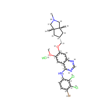 COc1cc2c(Nc3ccc(Br)c(Cl)c3Cl)ncnc2cc1OC[C@@H]1C[C@@H]2CN(C)C[C@@H]2C1.Cl